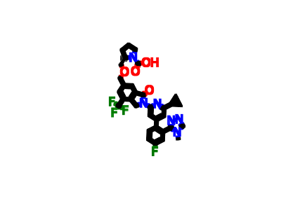 Cn1cnnc1-c1cc(F)ccc1-c1cc(C2CC2)nc(N2Cc3c(cc(COC[C@H]4CCCN4C(=O)O)cc3C(F)(F)F)C2=O)c1